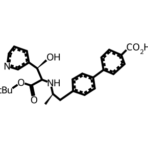 C[C@H](Cc1ccc(-c2ccc(C(=O)O)cc2)cc1)NC(C(=O)OC(C)(C)C)[C@H](O)c1cccnc1